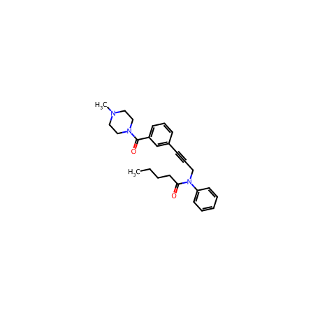 CCCCC(=O)N(CC#Cc1cccc(C(=O)N2CCN(C)CC2)c1)c1ccccc1